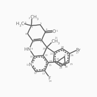 CC1(C)CC(=O)C2=C(C1)Nc1ncc(F)c(C3CC3)c1C2(C)c1cccc(Br)c1